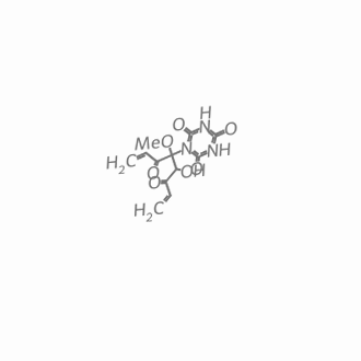 C=CC(=O)C(O)C(OC)(C(=O)C=C)n1c(=O)[nH]c(=O)[nH]c1=O